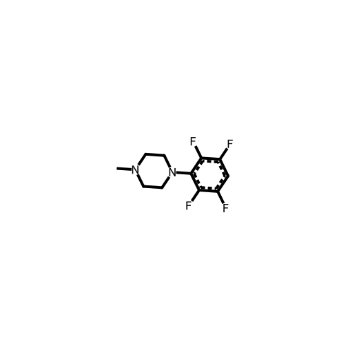 CN1CCN(c2c(F)c(F)cc(F)c2F)CC1